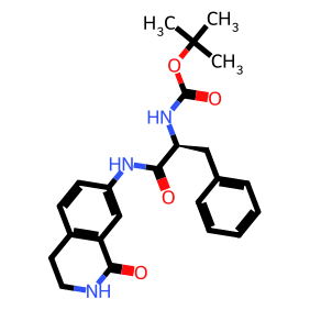 CC(C)(C)OC(=O)N[C@@H](Cc1ccccc1)C(=O)Nc1ccc2c(c1)C(=O)NCC2